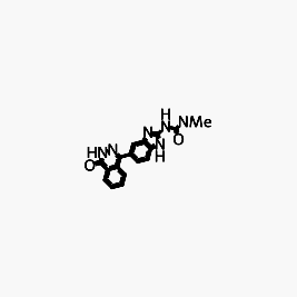 CNC(=O)Nc1nc2cc(-c3n[nH]c(=O)c4ccccc34)ccc2[nH]1